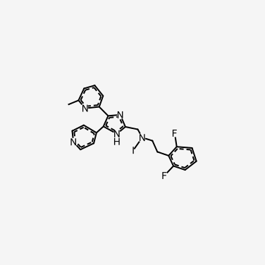 Cc1cccc(-c2nc(CN(I)CCc3c(F)cccc3F)[nH]c2-c2ccncc2)n1